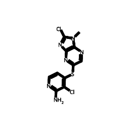 Cn1c(Cl)nc2nc(Sc3ccnc(N)c3Cl)cnc21